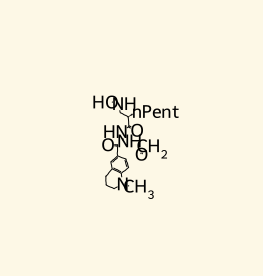 C=O.CCCCC[C@H](CNO)C(=O)NNC(=O)c1ccc2c(c1)CCCN2C